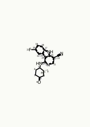 C[C@@H]1CC(=O)CCC1Nc1ncc(C#N)c2[nH]c3ccc(F)cc3c12